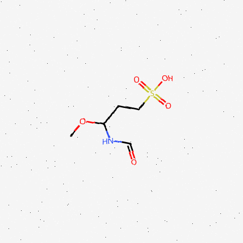 COC(CCS(=O)(=O)O)NC=O